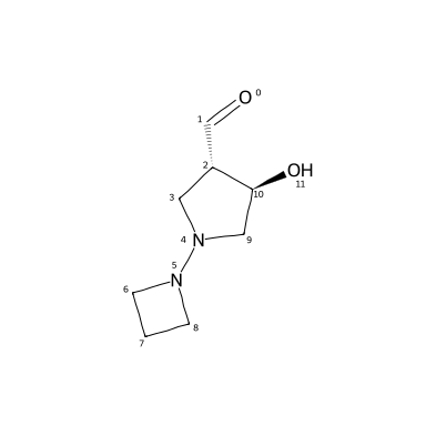 O=C[C@H]1CN(N2CCC2)C[C@@H]1O